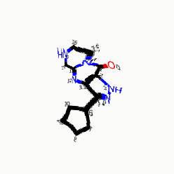 O=c1c2[nH]nc(C3CCCC3)c2nc2n1CCNC2